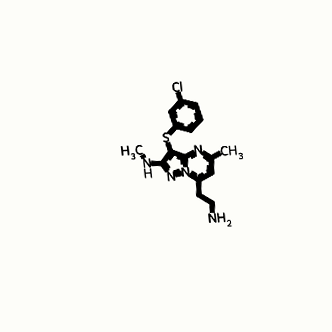 CNc1nn2c(CCN)cc(C)nc2c1Sc1cccc(Cl)c1